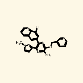 Cn1ccc(-c2nc(N)c(OCc3cccnc3)nc2-c2cc(Cl)c3ncccc3c2)n1